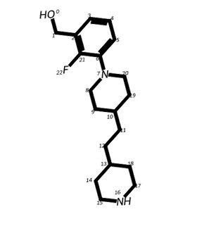 OCc1cccc(N2CCC(CCC3CCNCC3)CC2)c1F